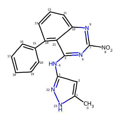 Cc1cc(Nc2nc([N+](=O)[O-])nc3cccc(-c4ccccc4)c23)n[nH]1